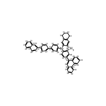 Cc1cc2c(cc1N(c1ccc(-c3ccc(-c4ccc5ccccc5c4)cc3)cc1)c1ccc(-c3cc4ccccc4c4ccccc34)cc1)CCCC2